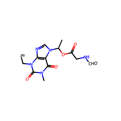 CC(C)Cn1c(=O)n(C)c(=O)c2c1ncn2C(C)OC(=O)CNC=O